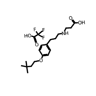 CC(C)(C)CCOc1ccc(CCCNCCC(=O)O)cc1.O=C(O)C(F)(F)F